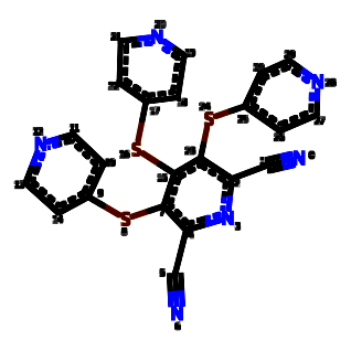 N#Cc1nc(C#N)c(Sc2ccncc2)c(Sc2ccncc2)c1Sc1ccncc1